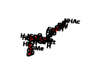 CCC(=O)NCCCCC(NC(=O)CCOCCOCCNC(=O)C(CCCCNC(=O)CCNC(=O)NCCSSCCNC(C)=O)NC(=O)CC)C(=O)NC(CSC1CC(=O)N(CCC(=O)NCC(CC(C)=O)C(=O)NC(CCCCNC(=O)Cc2ccc(OC(=O)CCN3C(=O)C=CC3=O)c(OC)c2)C(=O)NC(CC)C(N)O)C1=O)C(N)=O